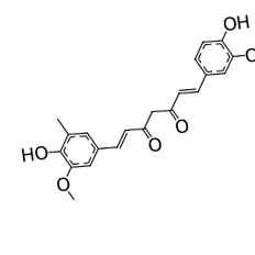 COc1cc(/C=C/C(=O)CC(=O)/C=C/c2cc(C)c(O)c(OC)c2)ccc1O